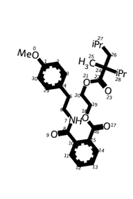 COc1ccc(CCNC(=O)c2ccccc2C(=O)OCCOC(=O)C(C)(CC(C)C)C(C)C)cc1